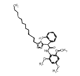 CCCCCCCCCCCCn1nnc(C(C(=O)Nc2c(OC)cc(OC)cc2OC)c2ccccc2C)n1